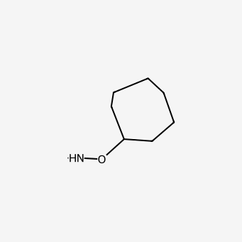 [NH]OC1CCCCCC1